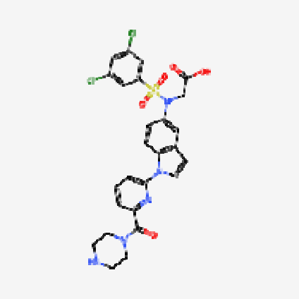 O=C(O)CN(c1ccc2c(ccn2-c2cccc(C(=O)N3CCNCC3)n2)c1)S(=O)(=O)c1cc(Cl)cc(Cl)c1